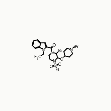 CCS(=O)(=O)N1CCN(C(=O)c2cc3ccccc3n2CC(F)(F)F)C(Br)C1OC1CCN(C(C)C)CC1